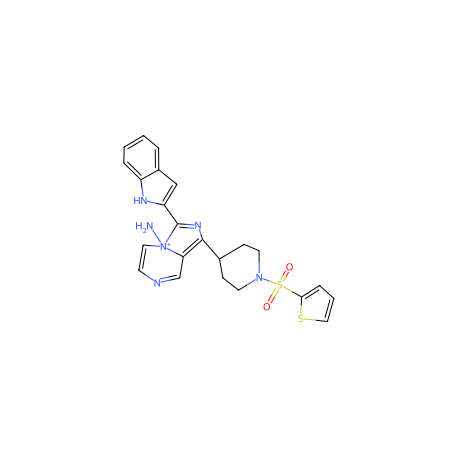 N[N+]12C=CN=CC1=C(C1CCN(S(=O)(=O)c3cccs3)CC1)N=C2c1cc2ccccc2[nH]1